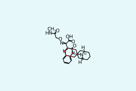 CNC(=O)CON=C(C(=O)O)c1nc2ccccc2n([C@H]2C[C@H]3CCC[C@@H](C2)N3C2CC3CCCC(C3)C2)c1=O